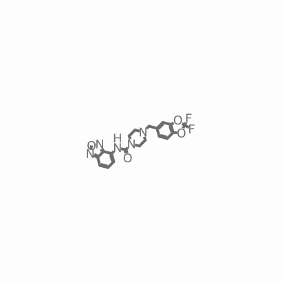 O=C(Nc1cccc2nonc12)N1CCN(Cc2ccc3c(c2)OC(F)(F)O3)CC1